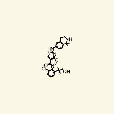 CC(C)(CO)c1cccc(Cl)c1N1COc2nc(Nc3ccc4c(c3)CCNC4(C)C)ncc2C1=O